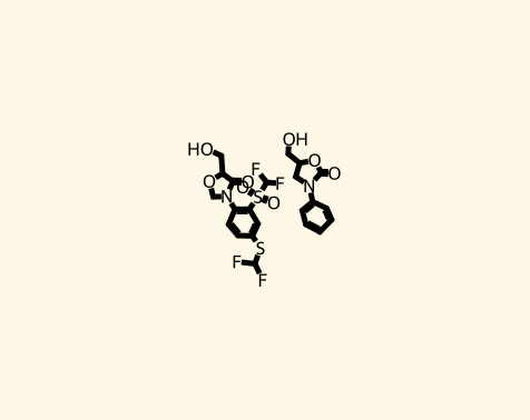 O=C1C(CO)OCN1c1ccc(SC(F)F)cc1S(=O)(=O)C(F)F.O=C1OC(CO)CN1c1ccccc1